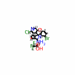 NC1=NC2(c3cc(Br)ccc3Oc3cnc(Cl)cc32)c2ccccc21.O=C(O)C(F)(F)F